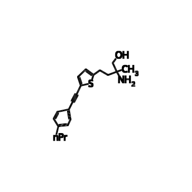 CCCc1ccc(C#Cc2ccc(CCC(C)(N)CO)s2)cc1